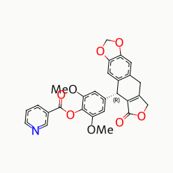 COc1cc([C@H]2C3=C(COC3=O)Cc3cc4c(cc32)OCO4)cc(OC)c1OC(=O)c1cccnc1